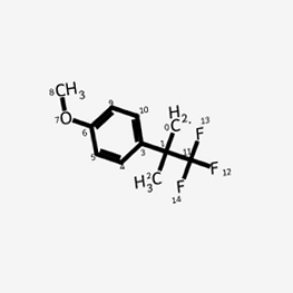 [CH2]C(C)(c1ccc(OC)cc1)C(F)(F)F